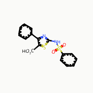 O=C(O)c1sc(NS(=O)(=O)c2ccccc2)nc1-c1ccccc1